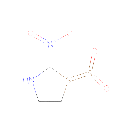 O=[N+]([O-])C1NC=CS1=S(=O)=O